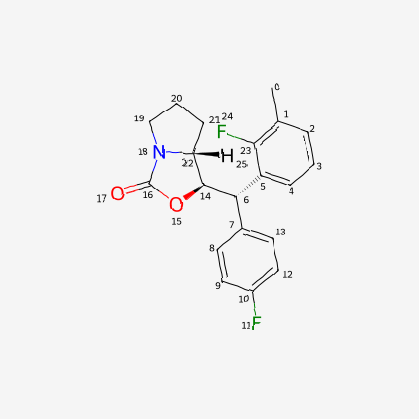 Cc1cccc([C@H](c2ccc(F)cc2)[C@H]2OC(=O)N3CCC[C@H]23)c1F